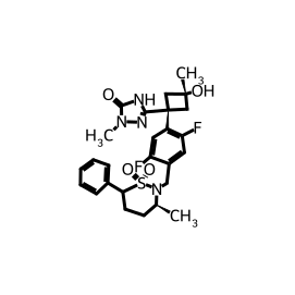 C[C@H]1CCC(c2ccccc2)S(=O)(=O)N1Cc1cc(F)c([C@]2(c3nn(C)c(=O)[nH]3)C[C@@](C)(O)C2)cc1F